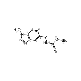 Cn1cnc2cc(CNC(=O)OC(C)(C)C)ccc21